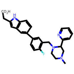 CN1CCN(Cc2cc(-c3ccc4[nH]c(CC(=O)O)cc4c3)ccc2F)C(c2ccccn2)C1